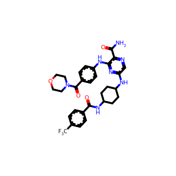 NC(=O)c1ncc(NC2CCC(NC(=O)c3ccc(C(F)(F)F)cc3)CC2)nc1Nc1ccc(C(=O)N2CCOCC2)cc1